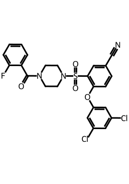 N#Cc1ccc(Oc2cc(Cl)cc(Cl)c2)c(S(=O)(=O)N2CCN(C(=O)c3ccccc3F)CC2)c1